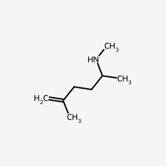 C=C(C)CCC(C)NC